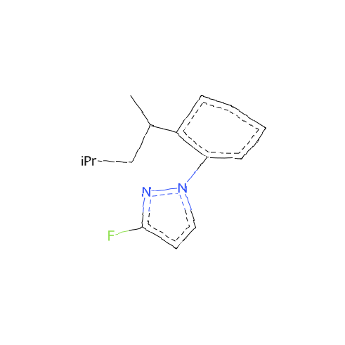 CC(C)CC(C)c1ccccc1-n1ccc(F)n1